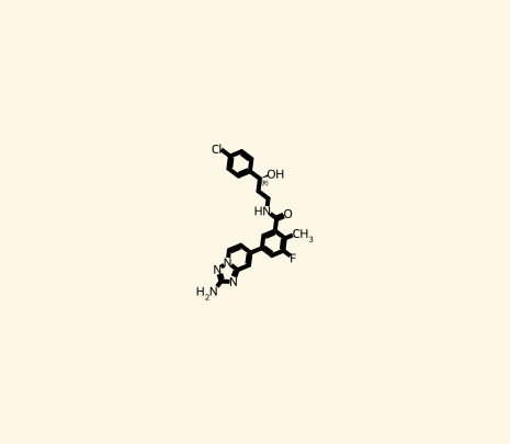 Cc1c(F)cc(-c2ccn3nc(N)nc3c2)cc1C(=O)NCC[C@@H](O)c1ccc(Cl)cc1